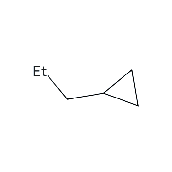 [CH]CCC1CC1